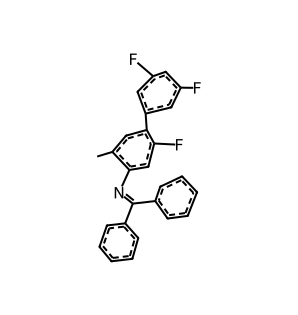 Cc1cc(-c2cc(F)cc(F)c2)c(F)cc1N=C(c1ccccc1)c1ccccc1